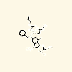 C=CCOC(=O)NS(=O)(=O)N(CC(=O)OC(C)(C)C)c1c(OCc2ccccc2)cc2c(c1F)C[C@H](CN(C(=O)OC(C)(C)C)[C@H](C)CC)N2C(=O)O